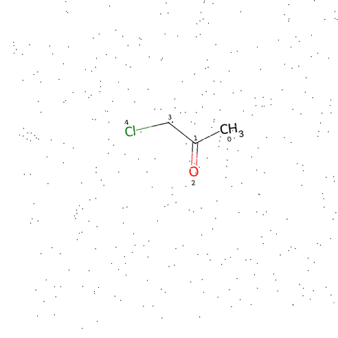 CC(=O)[CH]Cl